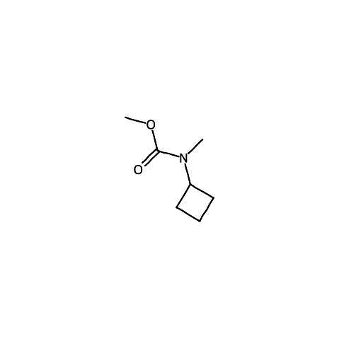 COC(=O)N(C)C1CCC1